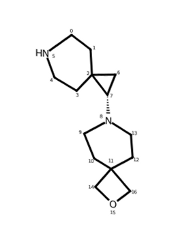 C1CC2(CCN1)C[C@@H]2N1CCC2(CC1)COC2